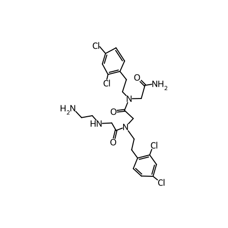 NCCNCC(=O)N(CCc1ccc(Cl)cc1Cl)CC(=O)N(CCc1ccc(Cl)cc1Cl)CC(N)=O